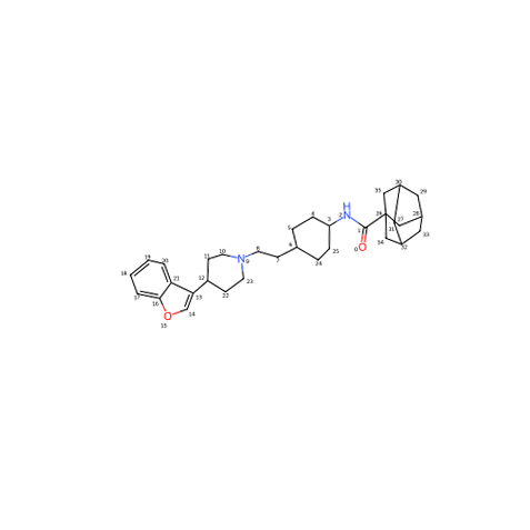 O=C(NC1CCC(CCN2CCC(c3coc4ccccc34)CC2)CC1)C12CC3CC(CC(C3)C1)C2